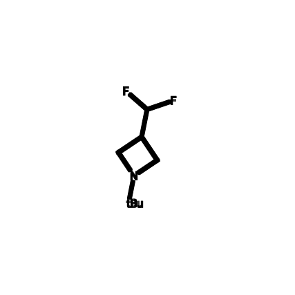 CC(C)(C)N1CC(C(F)F)C1